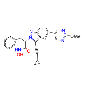 COc1ncc(-c2ccc3nn(C(Cc4ccccc4)C(=O)NO)c(C#CC4CC4)c3c2)cn1